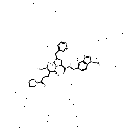 CN(C)C(CCC(=O)N1CCCC1)C(=O)N1CC(Cc2ccncc2)CC1C(=O)NCc1ccc2c(c1)nnn2C